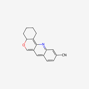 N#Cc1ccc2cc3c(nc2c1)=C1CCCCC1OC=3